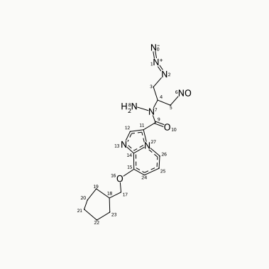 [N-]=[N+]=NCC(CN=O)N(N)C(=O)c1cnc2c(OCC3CCCCC3)cccn12